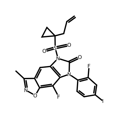 C=CCC1(S(=O)(=O)n2c(=O)n(-c3ccc(I)cc3F)c3c(F)c4onc(C)c4cc32)CC1